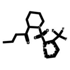 CCCC(=O)C1CCCCN1S(=O)(=O)c1ccccc1C(F)(F)F